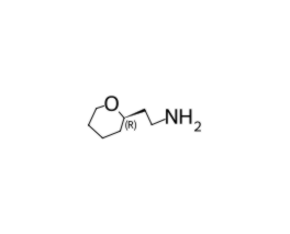 NCC[C@H]1CCCCO1